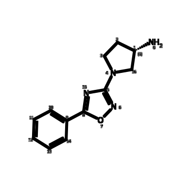 N[C@H]1CCN(c2noc(-c3ccccc3)n2)C1